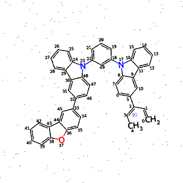 C=C/C(=C\C)c1ccc2c(c1)c1ccccc1n2-c1cccc(-n2c3ccccc3c3cc(-c4ccc5oc6ccccc6c5c4)ccc32)c1